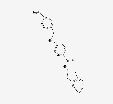 CCCCCCCc1ccc(CNc2ccc(C(=O)NC3Cc4ccccc4C3)cc2)cc1